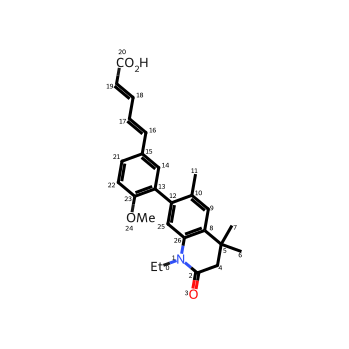 CCN1C(=O)CC(C)(C)c2cc(C)c(-c3cc(/C=C/C=C/C(=O)O)ccc3OC)cc21